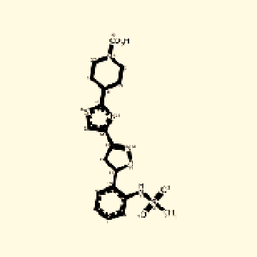 CS(=O)(=O)Nc1ccccc1C1CC(c2csc(C3CCN(C(=O)O)CC3)n2)=NO1